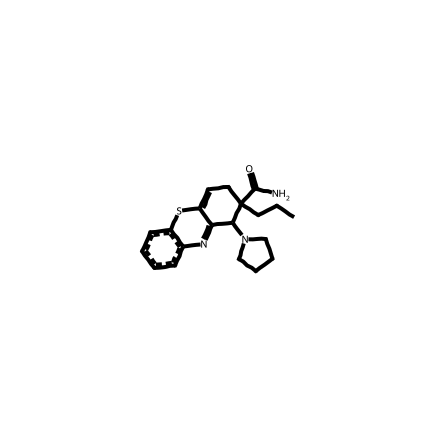 CCCC1(C(N)=O)CC=C2Sc3ccccc3N=C2C1N1CCCC1